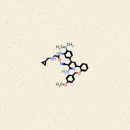 COc1ccc(COc2ccccc2-c2cc(-c3ccc(N(C)C)c(NC(=O)CNCC4CC4)c3)c(C#N)c(N)n2)cc1